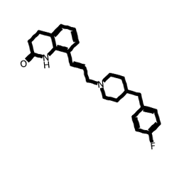 O=C1CCc2cccc(C=CCN3CCC(Cc4ccc(F)cc4)CC3)c2N1